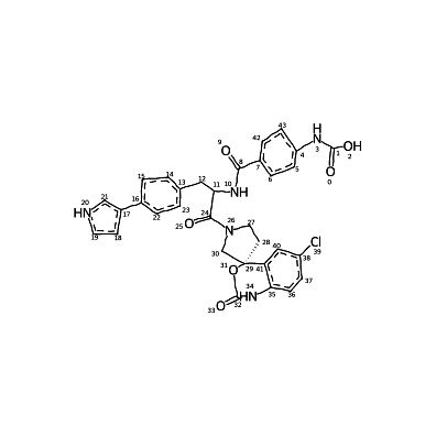 O=C(O)Nc1ccc(C(=O)NC(Cc2ccc(-c3cc[nH]c3)cc2)C(=O)N2CC[C@@]3(C2)OC(=O)Nc2ccc(Cl)cc23)cc1